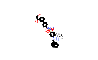 O=C(NS(=O)(=O)c1ccc(NCC23CC4CC(CC(C4)C2)C3)c([N+](=O)[O-])c1)c1ccc(-c2ccc3occc(=O)c3c2)cc1